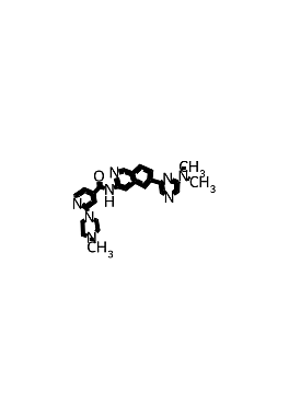 CN1CCN(c2cc(C(=O)Nc3cc4cc(-c5cncc(N(C)C)n5)ccc4cn3)ccn2)CC1